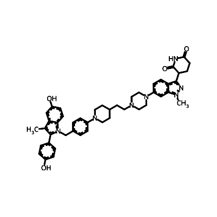 Cc1c(-c2ccc(O)cc2)n(Cc2ccc(N3CCC(CCN4CCN(c5ccc6c(C7CCC(=O)NC7=O)nn(C)c6c5)CC4)CC3)cc2)c2ccc(O)cc12